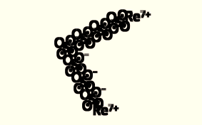 O=S(=O)([O-])[O-].O=S(=O)([O-])[O-].O=S(=O)([O-])[O-].O=S(=O)([O-])[O-].O=S(=O)([O-])[O-].O=S(=O)([O-])[O-].O=S(=O)([O-])[O-].[Re+7].[Re+7]